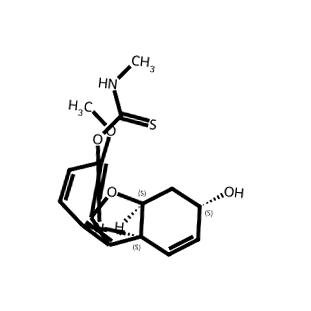 CNC(=S)ON1CC[C@@]23C=C[C@@H](O)C[C@@H]2Oc2c(OC)ccc(c23)C1